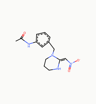 CC(=O)Nc1cccc(CN2CCCNC2=C[N+](=O)[O-])c1